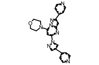 c1cc(-c2cnn(-c3cc(N4CCOCC4)n4nc(-c5ccncc5)cc4n3)c2)ccn1